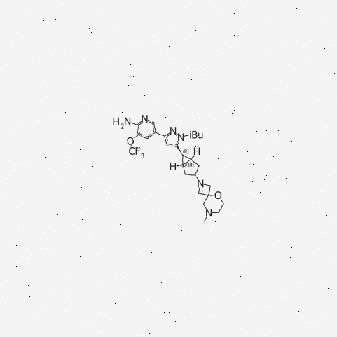 CCC(C)n1nc(-c2cnc(N)c(OC(F)(F)F)c2)cc1[C@H]1[C@@H]2CC(N3CC4(CN(C)CCO4)C3)C[C@@H]21